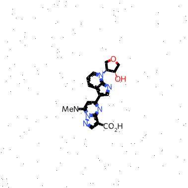 CNc1cc(-c2cnc3n([C@H]4COC[C@@H]4O)cccc2-3)nc2c(C(=O)O)cnn12